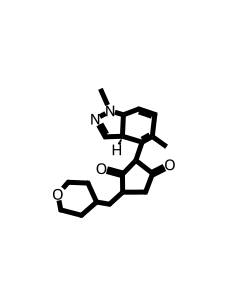 CC1=C(C2C(=O)CC(CC3CCOCC3)C2=O)[C@H]2C=NN(C)C2C=C1